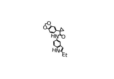 CCc1cc2cc(NC(=O)C3(c4ccc5c(c4)OCO5)CC3)ccc2[nH]1